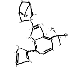 C[C@](O)(c1ccc(-c2nccs2)c2oc(N3CC4CC(C3)N4)nc12)C(F)(F)F